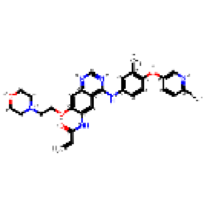 C=CC(=O)Nc1cc2c(Nc3ccc(Oc4ccc(C)nc4)c(C)c3)ncnc2cc1OCCN1CCOCC1